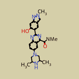 CNC(=O)c1nc(-c2cc3cn(C)nc3cc2O)nc2ccc(N3CC(C)NC(C)C3)cc12